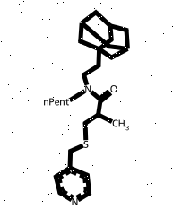 CCCCCN(CCC12CC3CC(CC(C3)C1)C2)C(=O)C(C)CSCc1ccncc1